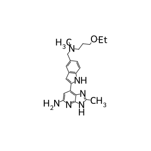 CCOCCCN(C)Cc1ccc2[nH]c(-c3cc(N)nc4[nH]c(C)nc34)cc2c1